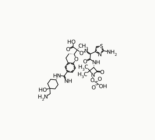 CC1(C)[C@H](NC(=O)/C(=N\O[C@](C)(C(=O)O)[C@H]2CCc3cc(C(=N)N[C@H]4CC[C@@](O)(CN)CC4)ccc3O2)c2csc(N)n2)C(=O)N1OS(=O)(=O)O